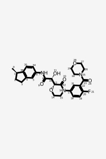 C[C@@H]1CCc2cc(NC(=O)[C@H](O)[C@H]3OCCN(c4ccc(F)c(C(=O)N5CCOCC5)c4)C3=O)ccc21